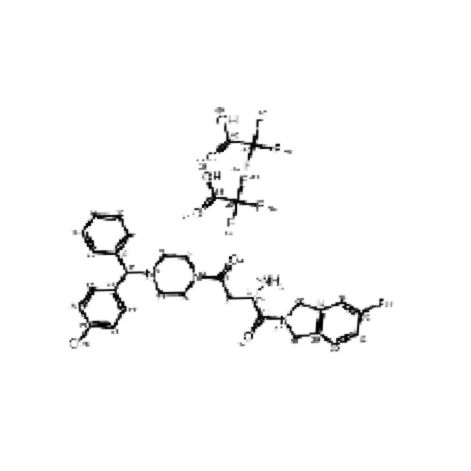 N[C@@H](CC(=O)N1CCN(C(c2ccccc2)c2ccc(Cl)cc2)CC1)C(=O)N1Cc2ccc(F)cc2C1.O=C(O)C(F)(F)F.O=C(O)C(F)(F)F